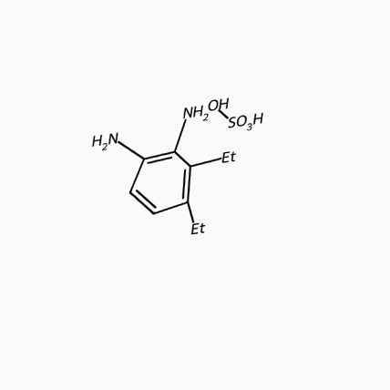 CCc1ccc(N)c(N)c1CC.O=S(=O)(O)O